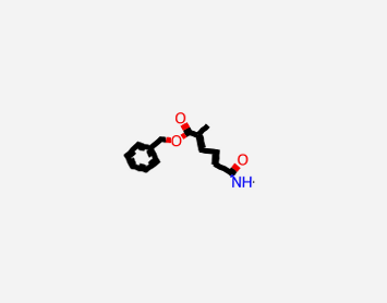 CC(=CC=CC([NH])=O)C(=O)OCc1ccccc1